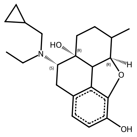 CCN(CC1CC1)[C@H]1Cc2ccc(O)c3c2C2[C@H](O3)C(C)CC[C@@]21O